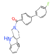 O=C(c1ccc(-c2ccc(F)cc2)cc1)N1CCc2c([nH]c3ccccc23)C1